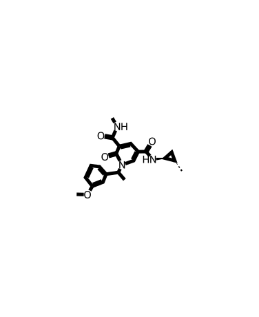 CNC(=O)c1cc(C(=O)N[C@H]2C[C@@H]2C)cn(C(C)c2cccc(OC)c2)c1=O